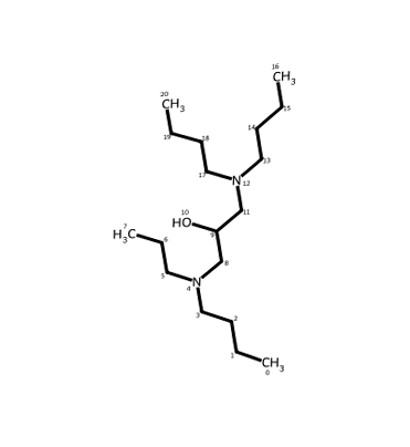 CCCCN(CCC)CC(O)CN(CCCC)CCCC